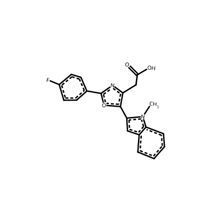 Cn1c(-c2oc(-c3ccc(F)cc3)nc2CC(=O)O)cc2ccccc21